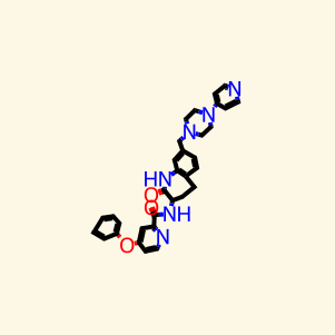 O=C(NC1CCc2ccc(CN3CCN(c4ccncc4)CC3)cc2NC1=O)c1cc(Oc2ccccc2)ccn1